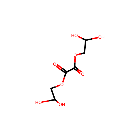 O=C(OCC(O)O)C(=O)OCC(O)O